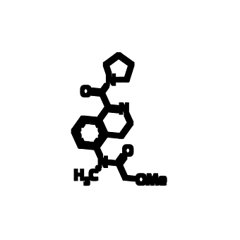 COCC(=O)N(C)c1cccc2c1CCN=C2C(=O)N1CCCC1